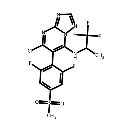 CC(Nc1c(-c2c(F)cc(S(C)(=O)=O)cc2F)c(Cl)nc2ncnn12)C(F)(F)F